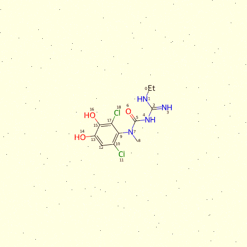 CCNC(=N)NC(=O)N(C)c1c(Cl)cc(O)c(O)c1Cl